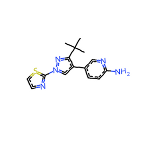 CC(C)(C)c1nn(-c2nccs2)cc1-c1ccc(N)nc1